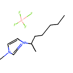 CCCCCC(C)[n+]1ccn(C)c1.F[B-](F)(F)F